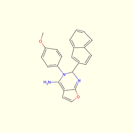 COc1ccc(N2C(N)=c3ccoc3=NC2c2ccc3ccccc3c2)cc1